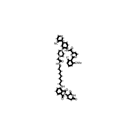 COc1cccc(F)c1-c1nccc(C(=O)Nc2ccc(-c3cnccc3C#N)cc2N2CCN(CC(=O)NCCCCCCCCNc3cccc4c3C(=O)N(C3CCC(=O)NC3=O)C4=O)CC2)n1